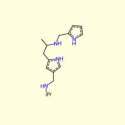 CC(C)NCc1c[nH]c(CC(C)NCc2ccc[nH]2)c1